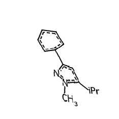 CC(C)c1cc(-c2ccccc2)nn1C